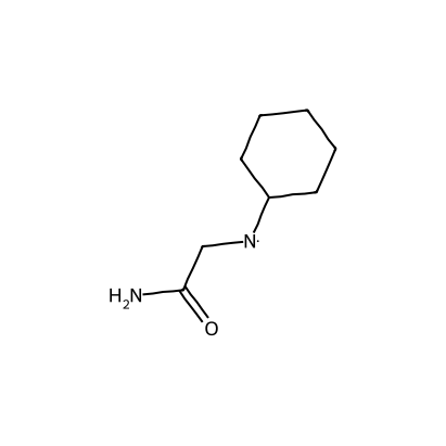 NC(=O)C[N]C1CCCCC1